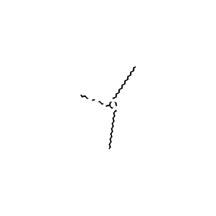 CCCCCCCCCCCCCCCC(=O)N1CCN(C(=O)CCCCCCCCCCCCCCC)CC(C(=O)NCCOCCOCCC(C)=O)C1